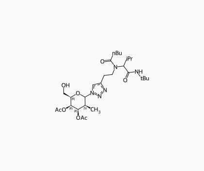 CCCCC(=O)N(CCc1cn(C2O[C@H](CO)[C@H](OC(C)=O)[C@H](OC(C)=O)[C@@H]2C)nn1)C(C(=O)NC(C)(C)C)C(C)C